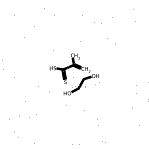 C=C(C)C(=S)S.OCCO